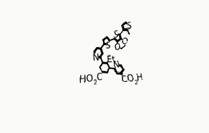 CCC1C(c2cc(C(=O)O)ccn2)C=C(C(=O)O)CC1c1cc(-c2ccc(-c3sc(-c4ccsc4C)c4c3OCCO4)s2)ccn1